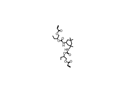 C=CC(=O)OCC(CC)OC(=O)NCC1(C)CC(NC(=O)OC(CC)COC(=O)C=C)CC(C)(C)C1